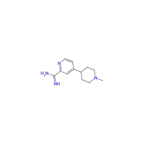 CN1CCC(c2ccnc(C(=N)N)c2)CC1